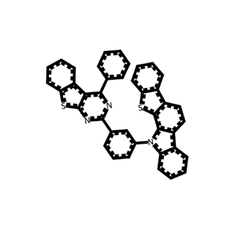 c1ccc(-c2nc(-c3cccc(-n4c5ccccc5c5ccc6c7ccccc7sc6c54)c3)nc3sc4ccccc4c23)cc1